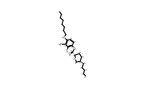 CCCCCCCCOc1ccc(OC(=O)[C@H]2CC[C@H](CCCCC)CC2)c(F)c1F